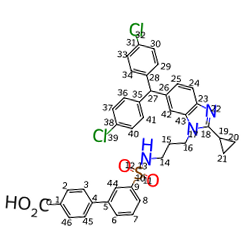 O=C(O)c1ccc(-c2cccc(S(=O)(=O)NCCCn3c(C4CC4)nc4ccc(C(c5ccc(Cl)cc5)c5ccc(Cl)cc5)cc43)c2)cc1